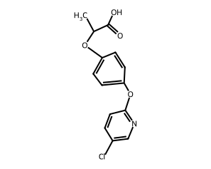 CC(Oc1ccc(Oc2ccc(Cl)cn2)cc1)C(=O)O